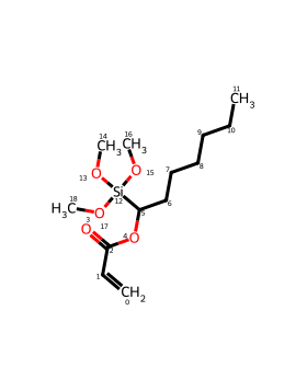 C=CC(=O)OC(CCCCCC)[Si](OC)(OC)OC